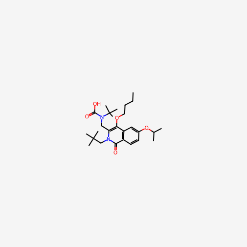 CCCCOc1c(CN(C(=O)O)C(C)(C)C)n(CC(C)(C)C)c(=O)c2ccc(OC(C)C)cc12